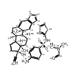 C#C[C@]1(O)CC[C@H]2[C@@H]3CCC4=Cc5oncc5C[C@]4(C)[C@H]3CC[C@@]21C.CN(C)C=O.Nc1ccc(S(=O)(=O)Nc2nccs2)cc1